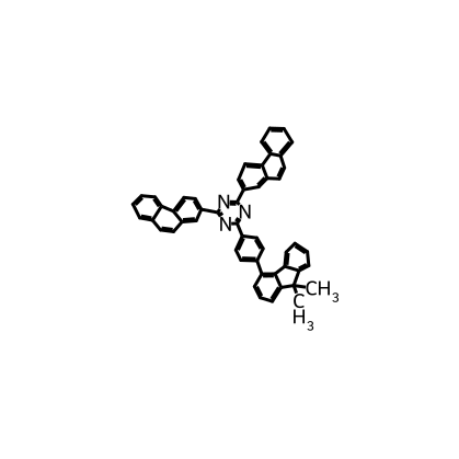 CC1(C)c2ccccc2-c2c(-c3ccc(-c4nc(-c5ccc6c(ccc7ccccc76)c5)nc(-c5ccc6c(ccc7ccccc76)c5)n4)cc3)cccc21